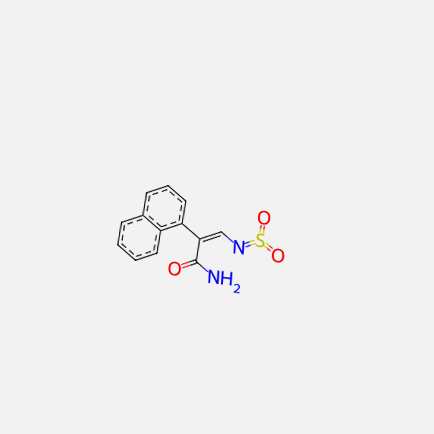 NC(=O)C(=CN=S(=O)=O)c1cccc2ccccc12